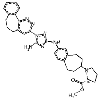 COC(=O)[C@H]1CCCN1C1CCc2ccc(Nc3nc(N)n(-c4cc5c(nn4)-c4ccccc4CCC5)n3)cc2CC1